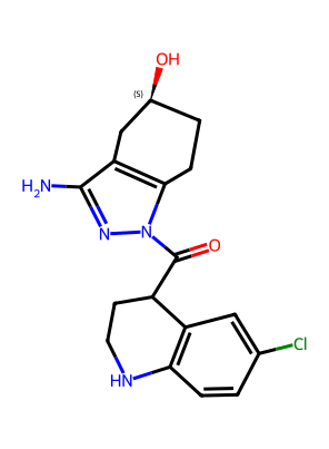 Nc1nn(C(=O)C2CCNc3ccc(Cl)cc32)c2c1C[C@@H](O)CC2